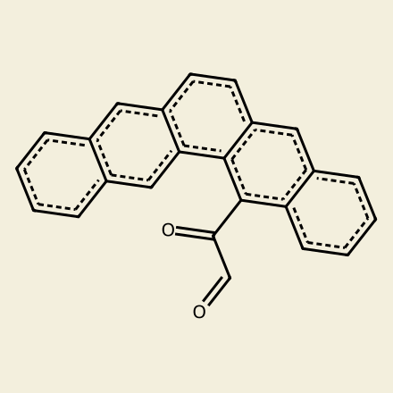 O=CC(=O)c1c2ccccc2cc2ccc3cc4ccccc4cc3c12